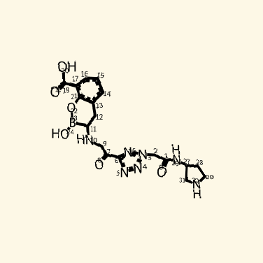 O=C(Cn1nnc(C(=O)CNC2Cc3cccc(C(=O)O)c3OB2O)n1)NC1CCNC1